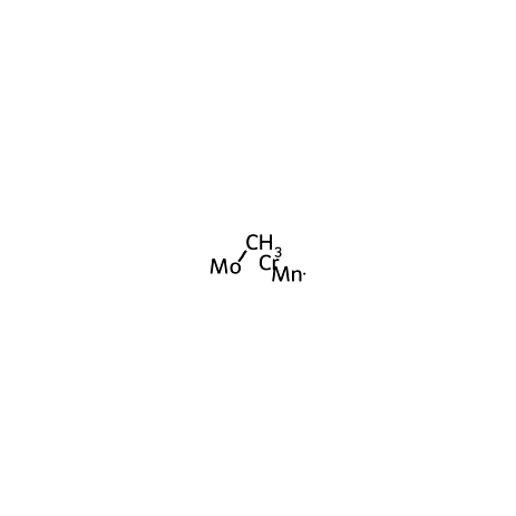 [CH3][Mo].[Cr].[Mn]